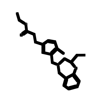 CCOC(=O)CCc1ccc(C)c(CN2Cc3ccccc3OC(CC)C2)c1